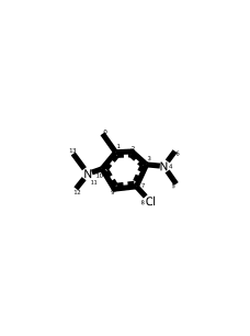 Cc1cc(N(C)C)c(Cl)cc1N(C)C